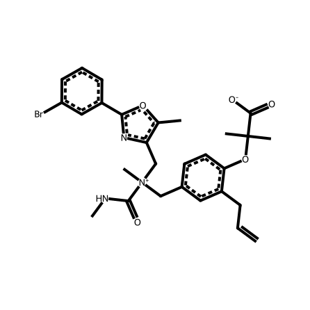 C=CCc1cc(C[N+](C)(Cc2nc(-c3cccc(Br)c3)oc2C)C(=O)NC)ccc1OC(C)(C)C(=O)[O-]